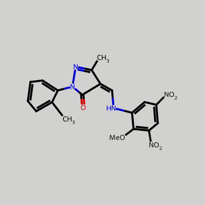 COc1c(N/C=C2\C(=O)N(c3ccccc3C)N=C2C)cc([N+](=O)[O-])cc1[N+](=O)[O-]